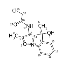 Cc1onc(C(C)(O)c2ccccc2)c1NC(=O)CCl